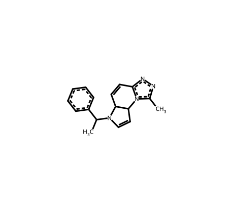 Cc1nnc2n1C1C=CN(C(C)c3ccccc3)C1C=C2